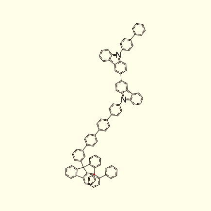 c1ccc(-c2ccc(-n3c4ccccc4c4cc(-c5ccc6c(c5)c5ccccc5n6-c5ccc(-c6ccc(-c7ccc(-c8cccc(C9(c%10ccccc%10-c%10ccccc%10-c%10ccccc%10)c%10ccccc%10-c%10ccccc%109)c8)cc7)cc6)cc5)ccc43)cc2)cc1